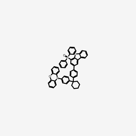 O=P(c1ccccc1)(c1ccccc1)c1cc(-c2ccc(C3(c4ccc(N5c6ccccc6Oc6ccccc65)cc4)CCCCC3)cc2)cc2c1oc1ccccc12